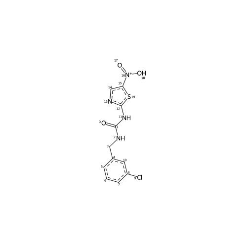 O=C(NCc1cccc(Cl)c1)Nc1ncc([N+](=O)O)s1